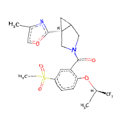 Cc1coc([C@]23CC2CN(C(=O)c2cc(S(C)(=O)=O)ccc2O[C@H](C)C(F)(F)F)C3)n1